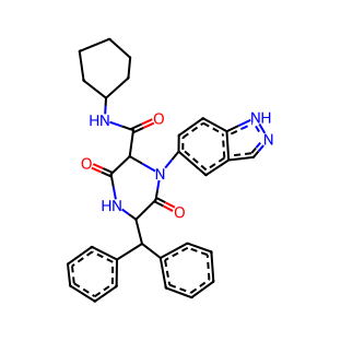 O=C(NC1CCCCC1)C1C(=O)NC(C(c2ccccc2)c2ccccc2)C(=O)N1c1ccc2[nH]ncc2c1